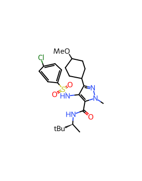 COC1CCC(c2nn(C)c(C(=O)N[C@@H](C)C(C)(C)C)c2NS(=O)(=O)c2ccc(Cl)cc2)CC1